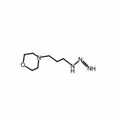 N=NNCCCN1CCOCC1